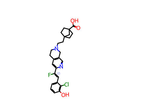 O=C(O)C12CCC(CCN3CCc4cc(/C(F)=C/c5cccc(O)c5Cl)ncc4C3)(CC1)C2